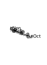 CCCCCCCC/C=C\COC(=O)CCCCCN(CCCCCC(=O)OC/C=C\CCCCCCCCC)C(=O)SC